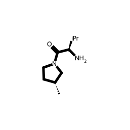 CC(C)[C@@H](N)C(=O)N1CC[C@@H](C)C1